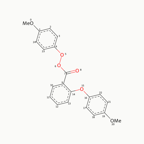 COc1ccc(OOC(=O)c2ccccc2Oc2ccc(OC)cc2)cc1